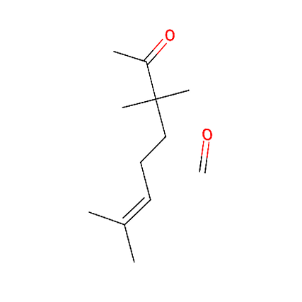 C=O.CC(=O)C(C)(C)CCC=C(C)C